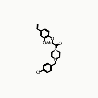 C=Cc1ccc(OCC(=O)N2CCN(Cc3ccc(Cl)cc3)CC2)c(OC)c1